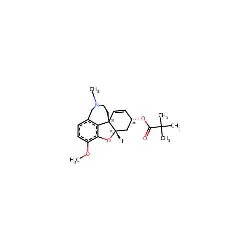 COc1ccc2c3c1O[C@H]1C[C@@H](OC(=O)C(C)(C)C)C=C[C@@]31CCN(C)C2